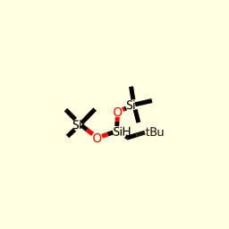 CC(C)(C)C[SiH](O[Si](C)(C)C)O[Si](C)(C)C